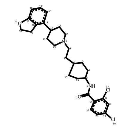 O=C(NC1CCC(CCN2CCC(c3cccc4c3CCO4)CC2)CC1)c1ccc(Cl)cc1Cl